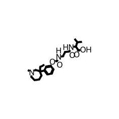 CCC1(c2cccc(OC(=O)NCCC(=O)NC(C(=O)O)C(C)C)c2)CCCCN(C)C1